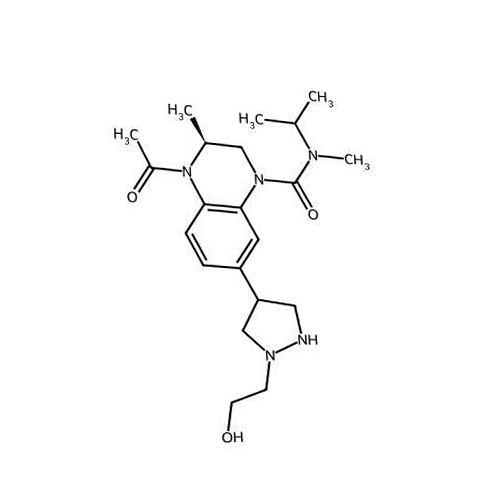 CC(=O)N1c2ccc(C3CNN(CCO)C3)cc2N(C(=O)N(C)C(C)C)C[C@@H]1C